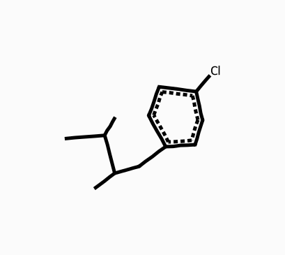 CC(C)C(C)Cc1ccc(Cl)cc1